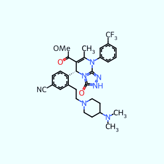 COC(=O)C1=C(C)N(c2cccc(C(F)(F)F)c2)c2n[nH]c(=O)n2[C@@H]1c1ccc(C#N)cc1CCN1CCC(N(C)C)CC1